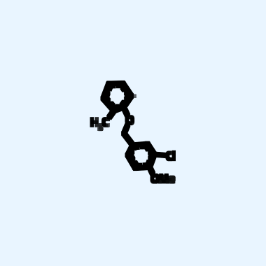 COc1ccc(COc2[c]cccc2C)cc1Cl